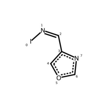 I/N=C\c1cocn1